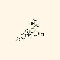 CC(C)NC(=O)c1cn(S(=O)(=O)c2ccc(C(C)(C)C)cc2)c2ccc(Cl)cc12